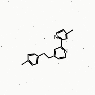 Cc1ccc(CCc2ccnc(-c3cc(C)ccn3)c2)cc1